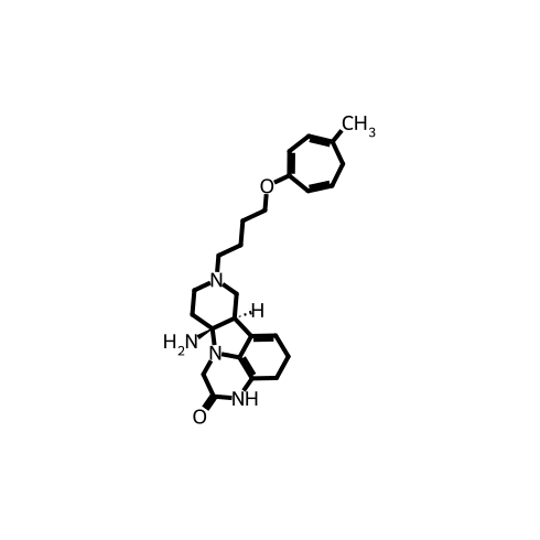 CC1=CC=C(OCCCCN2CC[C@]3(N)[C@@H](C2)C2=CCCC4=C2N3CC(=O)N4)C=CC1